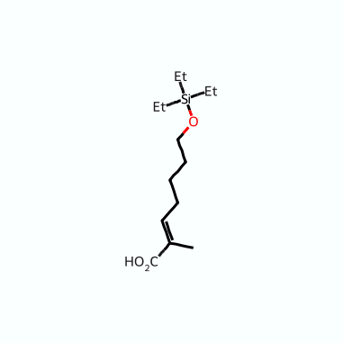 CC[Si](CC)(CC)OCCCCC=C(C)C(=O)O